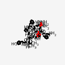 CC(C)C[C@H](NC(=O)[C@@H](NC(=O)[C@@H](N)Cc1ccc(O)cc1)C(C)C)C(=O)NCC(=O)N1CCC[C@H]1C(=O)N[C@@H](Cc1ccccc1)C(=O)N[C@@H](CCCNC(=N)N)C(=O)N[C@@H](Cc1ccccc1)C(=O)N[C@@H](CC(=O)O)C(=O)N[C@@H](CCCNC(=N)N)C(=O)N[C@@H](Cc1ccccc1)C(=O)NCC(N)=O